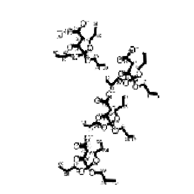 CCCOC(OCCC)(OCCC)C(=O)CC(=O)[O-].CCCOC(OCCC)(OCCC)C(=O)CC(=O)[O-].CCCOC(OCCC)(OCCC)C(=O)CC(=O)[O-].CCCOC(OCCC)(OCCC)C(=O)CC(=O)[O-].[Ti+4]